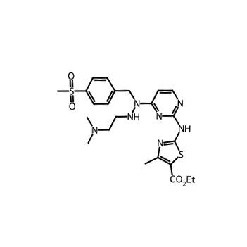 CCOC(=O)c1sc(Nc2nccc(N(Cc3ccc(S(C)(=O)=O)cc3)NCCN(C)C)n2)nc1C